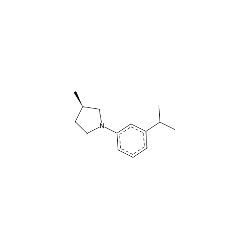 CC(C)c1cccc(N2CC[C@@H](C)C2)c1